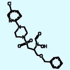 O=CN(O)C(COCc1ccccc1)CS(=O)(=O)N1CCN(c2ccc(Cl)cn2)CC1